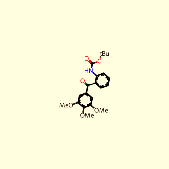 COc1cc(C(=O)c2ccccc2NC(=O)OC(C)(C)C)cc(OC)c1OC